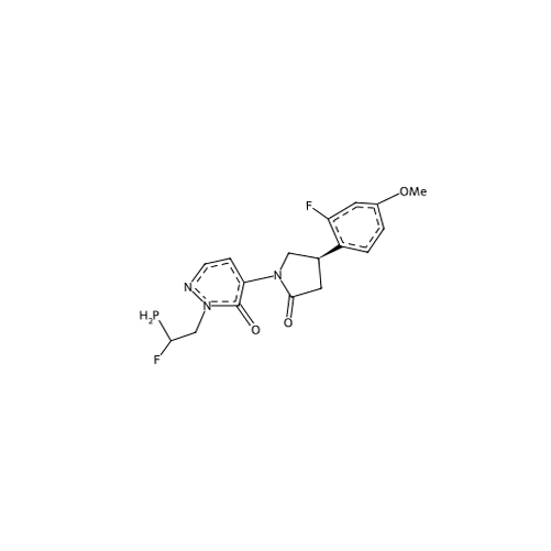 COc1ccc([C@H]2CC(=O)N(c3ccnn(CC(F)P)c3=O)C2)c(F)c1